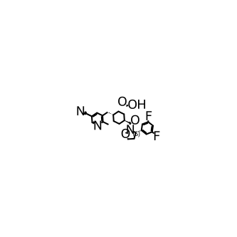 Cc1ncc(C#N)cc1C[C@H]1CC[C@H](C(=O)N2OCC[C@H]2c2cc(F)cc(F)c2)CC1.O=CO